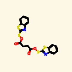 O=C(CCC(=O)OSc1nc2ccccc2s1)OSc1nc2ccccc2s1